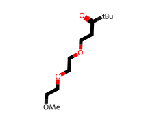 COCCOCCOCCC(=O)C(C)(C)C